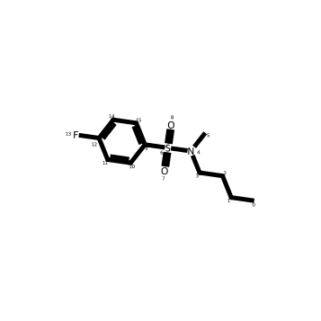 CCCCN(C)S(=O)(=O)c1ccc(F)cc1